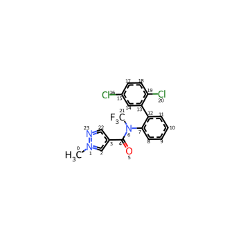 Cn1cc(C(=O)N(c2ccccc2-c2cc(Cl)ccc2Cl)C(F)(F)F)cn1